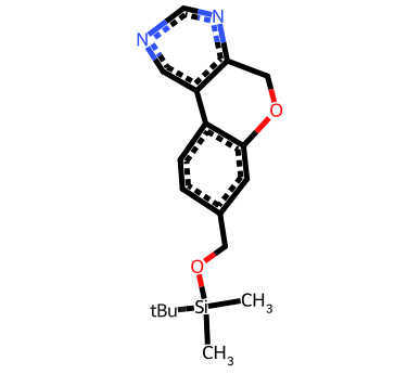 CC(C)(C)[Si](C)(C)OCc1ccc2c(c1)OCc1ncncc1-2